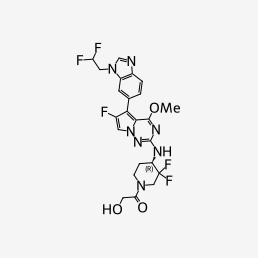 COc1nc(N[C@@H]2CCN(C(=O)CO)CC2(F)F)nn2cc(F)c(-c3ccc4ncn(CC(F)F)c4c3)c12